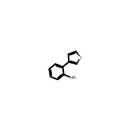 CCCc1ccccc1-c1ccsc1